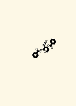 [N-]=[N+]=N[C@@H]1[C@H](OC(=O)c2ccccc2)C=CO[C@@H]1COC(=O)c1ccccc1